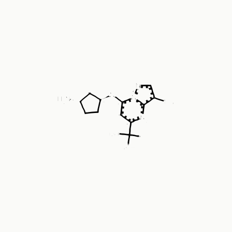 CCC(C)C(C)(C)c1cc(N[C@H]2CC[C@H](N)C2)n2ncc(F)c2n1